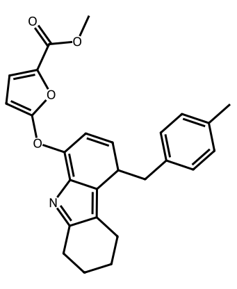 COC(=O)c1ccc(OC2=C3N=C4CCCCC4=C3C(Cc3ccc(C)cc3)C=C2)o1